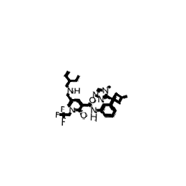 CCC(CC)CNCc1cc(C(=O)Nc2cccc(C3(c4nncn4C)CC(C)C3)c2)c(=O)n(CC(F)(F)F)c1